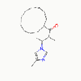 Cc1cn(C(C)C(C)C(=O)C2CCCCCCCCCC2)cn1